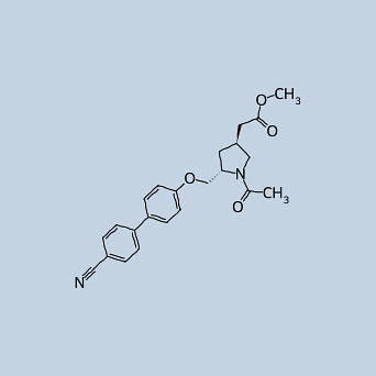 COC(=O)C[C@@H]1C[C@@H](COc2ccc(-c3ccc(C#N)cc3)cc2)N(C(C)=O)C1